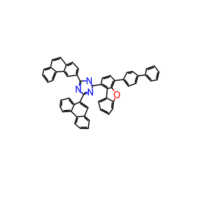 c1ccc(-c2ccc(-c3ccc(-c4nc(-c5ccc6ccc7ccccc7c6c5)nc(-c5cc6ccccc6c6ccccc56)n4)c4c3oc3ccccc34)cc2)cc1